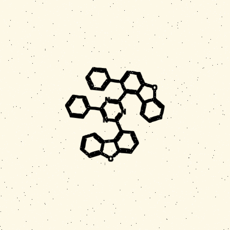 c1ccc(-c2nc(-c3cccc4oc5ccccc5c34)nc(-c3c(-c4ccccc4)ccc4oc5ccccc5c34)n2)cc1